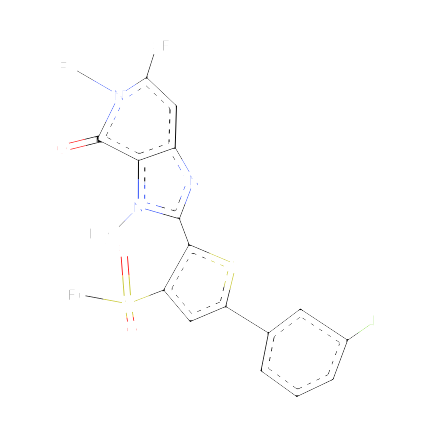 CCn1c(C(F)(F)F)cc2nc(-c3sc(-c4cccc(F)c4)cc3S(=O)(=O)CC)n(C)c2c1=O